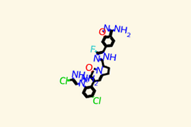 CN1/C(=C\C(=C/C=O)c2cc(Cl)ccc2N(N)/C=C(\N)Cl)CCC1c1nc(F)c(-c2ccc3c(N)noc3c2)[nH]1